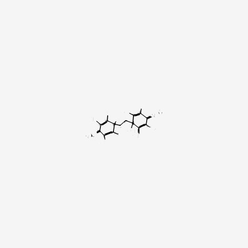 [N-]=[N+]=C1C(F)=C(F)C(CCC2(C(=O)O)C(F)=C(F)C(=[N+]=[N-])C(F)=C2F)(C(=O)O)C(F)=C1F